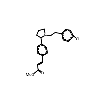 COC(=O)C=Cc1ccc(C2CCCN2CCc2ccc(Cl)cc2)cc1